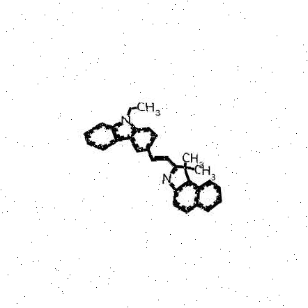 CCn1c2ccccc2c2cc(/C=C/C3=Nc4ccc5ccccc5c4C3(C)C)ccc21